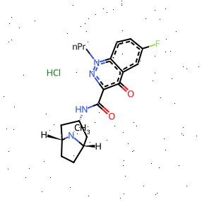 CCCn1nc(C(=O)N[C@H]2C[C@H]3CC[C@@H](C2)N3C)c(=O)c2cc(F)ccc21.Cl